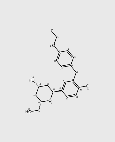 CCOc1ccc(Cc2cc([C@@H]3C[C@@H](O)C[C@@H](CO)O3)ccc2Cl)cc1